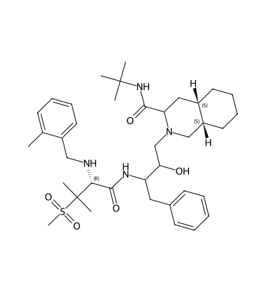 Cc1ccccc1CN[C@H](C(=O)NC(Cc1ccccc1)C(O)CN1C[C@H]2CCCC[C@H]2CC1C(=O)NC(C)(C)C)C(C)(C)S(C)(=O)=O